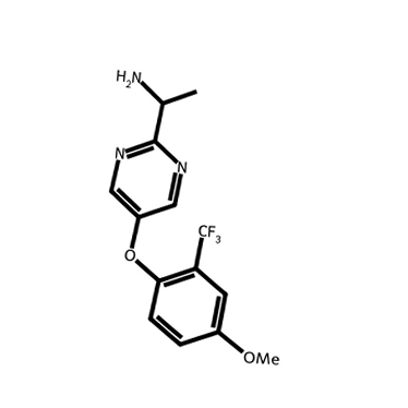 COc1ccc(Oc2cnc(C(C)N)nc2)c(C(F)(F)F)c1